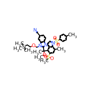 COC(C)(c1c(S(C)(=O)=O)cc(C)c2c1ccn2S(=O)(=O)c1ccc(C)cc1)c1nc2ccc(C#N)cc2n1COCC[Si](C)(C)C